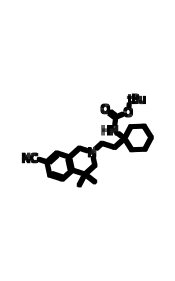 CC(C)(C)OC(=O)NC1(CCN2Cc3cc(C#N)ccc3C(C)(C)C2)CCCCC1